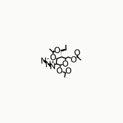 CC=C[C@@H]1C(COC(C)=O)OC(OC(C)=O)C(N=[N+]=[N-])[C@H]1OC(C)=O